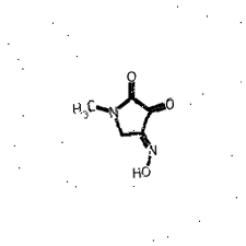 CN1C/C(=N\O)C(=O)C1=O